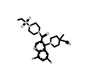 CCS(=O)(=O)N1CCN(C(=O)c2cnc3c(F)cc(F)cc3c2N2CCC(C)(C#N)CC2)CC1